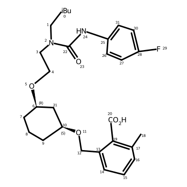 CCC(C)CN(CCO[C@@H]1CCC[C@H](OCc2cccc(C)c2C(=O)O)C1)C(=O)Nc1ccc(F)cc1